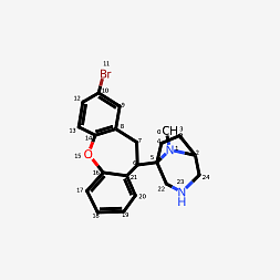 CN1C2CCC1(C1Cc3cc(Br)ccc3Oc3ccccc31)CNC2